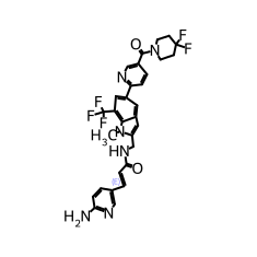 Cn1c(CNC(=O)/C=C/c2ccc(N)nc2)cc2cc(-c3ccc(C(=O)N4CCC(F)(F)CC4)cn3)cc(C(F)(F)F)c21